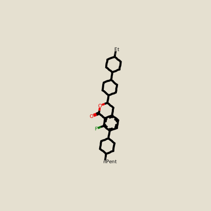 CCCCCC1CCC(c2ccc3c(c2F)C(=O)OC(C2CCC(C4CCC(CC)CC4)CC2)C3)CC1